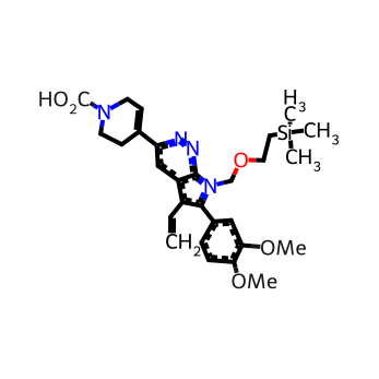 C=Cc1c(-c2ccc(OC)c(OC)c2)n(COCC[Si](C)(C)C)c2nnc(C3=CCN(C(=O)O)CC3)cc12